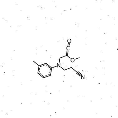 COC(=C=O)CN(CCC#N)c1cccc(C)c1